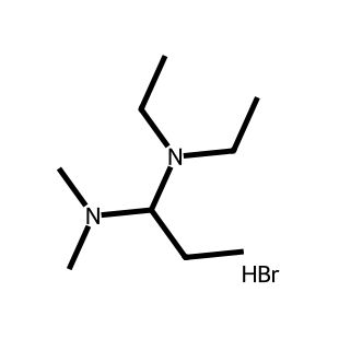 Br.CCC(N(C)C)N(CC)CC